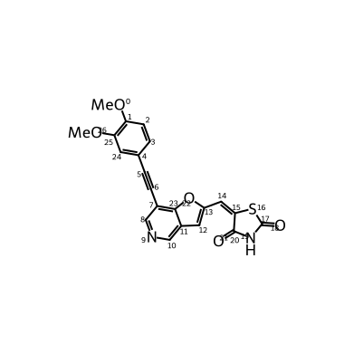 COc1ccc(C#Cc2cncc3cc(/C=C4/SC(=O)NC4=O)oc23)cc1OC